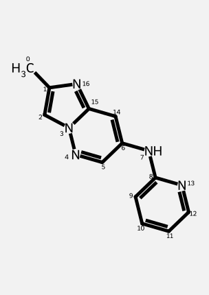 Cc1cn2ncc(Nc3ccccn3)cc2n1